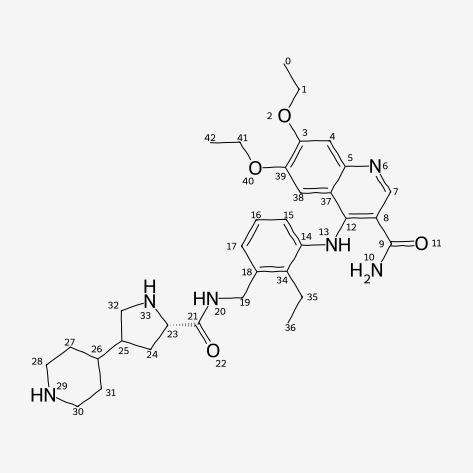 CCOc1cc2ncc(C(N)=O)c(Nc3cccc(CNC(=O)[C@@H]4CC(C5CCNCC5)CN4)c3CC)c2cc1OCC